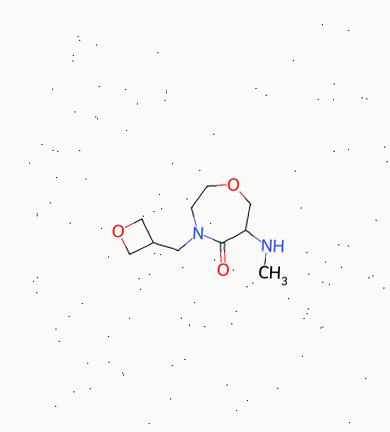 CNC1COCCN(CC2COC2)C1=O